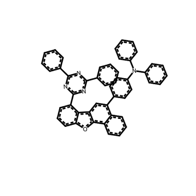 c1ccc(-c2nc(-c3ccccc3)nc(-c3cccc4oc5c6ccccc6c(-c6ccc(N(c7ccccc7)c7ccccc7)cc6)cc5c34)n2)cc1